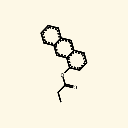 CCC(=O)Oc1cccc2cc3ccccc3cc12